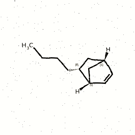 CCCC[C@@H]1C[C@@H]2C=C[C@H]1C2